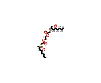 CCCCC(=O)CC(C)SCC(=O)OCCOC(=O)CSC(C)CC(=O)CCCC